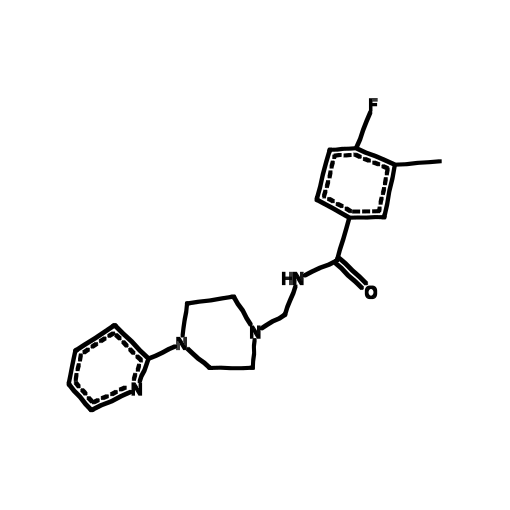 Cc1cc(C(=O)NCN2CCN(c3ccccn3)CC2)ccc1F